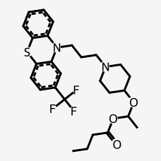 CCCC(=O)OC(C)OC1CCN(CCCN2c3ccccc3Sc3ccc(C(F)(F)F)cc32)CC1